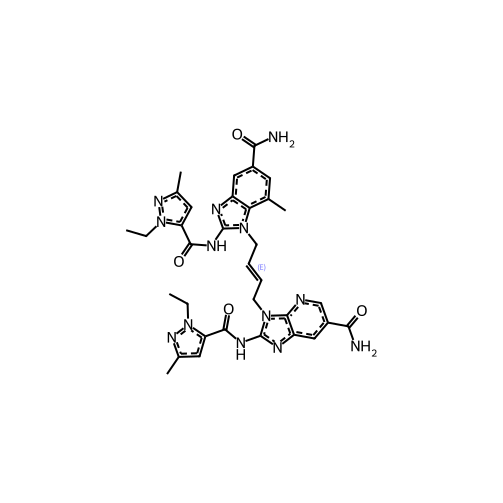 CCn1nc(C)cc1C(=O)Nc1nc2cc(C(N)=O)cnc2n1C/C=C/Cn1c(NC(=O)c2cc(C)nn2CC)nc2cc(C(N)=O)cc(C)c21